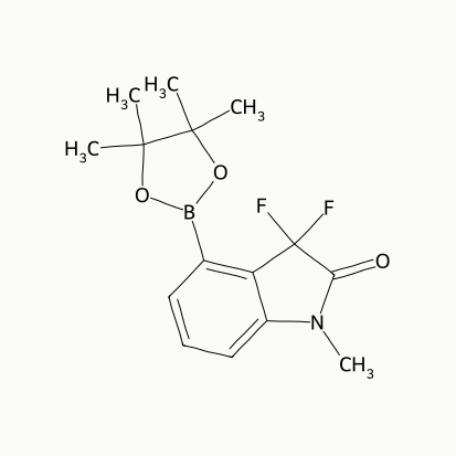 CN1C(=O)C(F)(F)c2c(B3OC(C)(C)C(C)(C)O3)cccc21